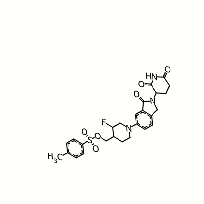 Cc1ccc(S(=O)(=O)OCC2CCN(c3ccc4c(c3)C(=O)N(C3CCC(=O)NC3=O)C4)CC2F)cc1